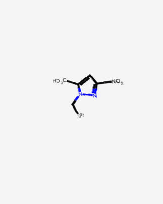 CC(C)Cn1nc([N+](=O)[O-])cc1C(=O)O